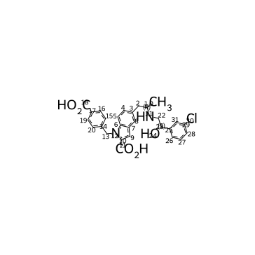 C[C@H](Cc1ccc2c(c1)cc(C(=O)O)n2Cc1ccc(C(=O)O)cc1)NC[C@@H](O)c1cccc(Cl)c1